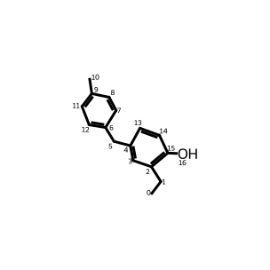 CCc1cc(Cc2ccc(C)cc2)ccc1O